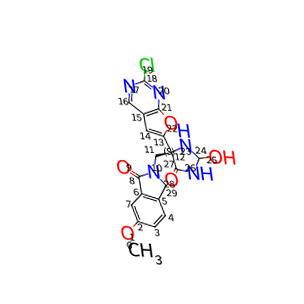 COc1ccc2c(c1)C(=O)N(C[C@@]1(c3cc4cnc(Cl)nc4o3)NC(O)NC1=O)C2